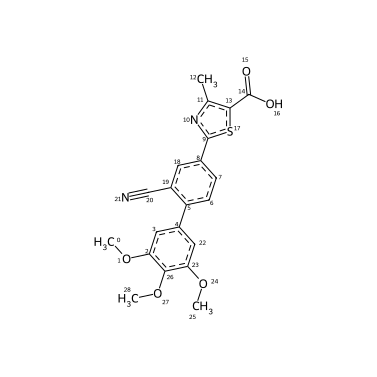 COc1cc(-c2ccc(-c3nc(C)c(C(=O)O)s3)cc2C#N)cc(OC)c1OC